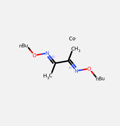 CCCCO/N=C(C)/C(C)=N/OCCCC.[Co]